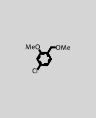 COCc1ccc(Cl)cc1OC